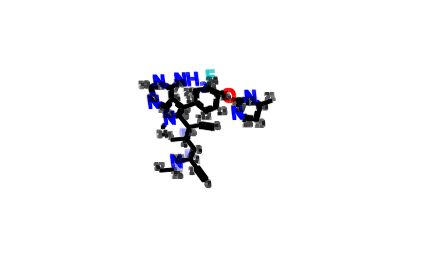 C#CC(=C/C(C)=C(\C#C)c1c(-c2ccc(Oc3nccc(C)n3)c(F)c2)c2c(N)ncnc2n1C)/N=C/C